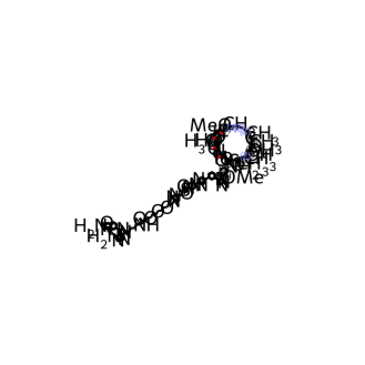 CO[C@@H]1C[C@H]2CC[C@H](C)[C@](O)(O2)C(=O)C(=O)N2CCCC[C@H]2C(=O)OC([C@@H](N)C[C@@H]2CC[C@H](n3nncc3-c3cccc(-c4cnc(N5CCN(S(=O)(=O)CCc6cn(CCOCCOCCOCCC(=O)NCCCCn7nc(-c8ccc9oc(N)nc9c8)c8c(N)ncnc87)nn6)CC5)nc4)c3)[C@H](OC)C2)CC(=O)[C@H](C)/C=C(/C)[C@H](O)[C@@H](O)C(=O)[C@H](C)C[C@H](C)\C=C/C=C\C=C/1C